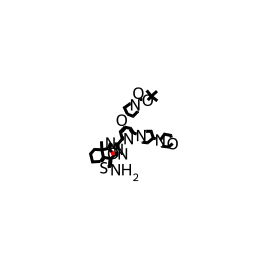 CC(C)(C)OC(=O)N1CCC(Oc2cc(-c3noc(C4(C)CCCc5sc(N)c(C#N)c54)n3)nc(N3CCC(N4CCOCC4)CC3)c2)CC1